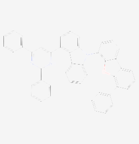 C1=C(c2cccc3c2c2ccccc2n3-c2cccc3c2oc2c(-c4ccccc4)cccc23)NC(c2ccccc2)N=C1c1ccccc1